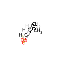 CC1=C(/C=C/C(C)=C/C=C/C(C)=C/CO[SH](=O)=O)C(C)(C)CCC1